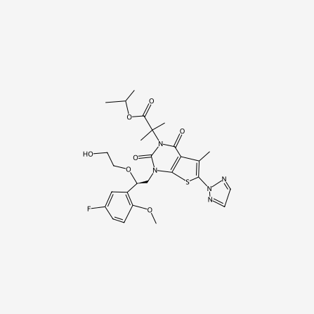 COc1ccc(F)cc1[C@H](Cn1c(=O)n(C(C)(C)C(=O)OC(C)C)c(=O)c2c(C)c(-n3nccn3)sc21)OCCO